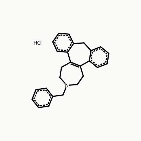 Cl.c1ccc(CN2CCC3=C(CC2)c2ccccc2Cc2ccccc23)cc1